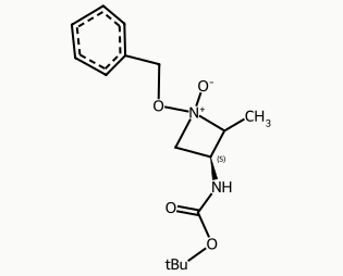 CC1[C@@H](NC(=O)OC(C)(C)C)C[N+]1([O-])OCc1ccccc1